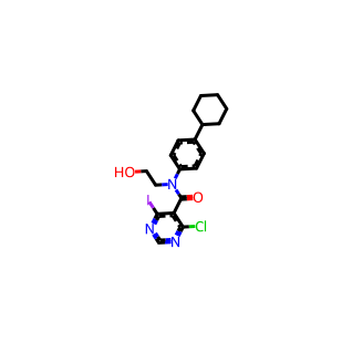 O=C(c1c(Cl)ncnc1I)N(CCO)c1ccc(C2CCCCC2)cc1